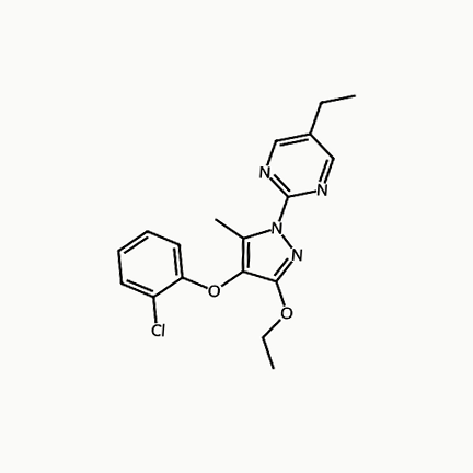 CCOc1nn(-c2ncc(CC)cn2)c(C)c1Oc1ccccc1Cl